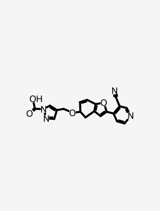 N#Cc1cnccc1-c1cc2c(o1)C=CC(OCc1cnn(C(=O)O)c1)C2